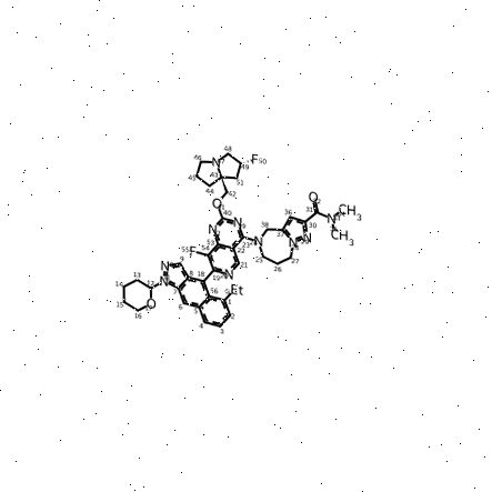 CCc1cccc2cc3c(cnn3C3CCCCO3)c(-c3ncc4c(N5CCCn6nc(C(=O)N(C)C)cc6C5)nc(OC[C@@]56CCCN5C[C@H](F)C6)nc4c3F)c12